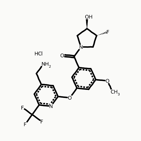 COc1cc(Oc2cc(CN)cc(C(F)(F)F)n2)cc(C(=O)N2C[C@@H](O)[C@H](F)C2)c1.Cl